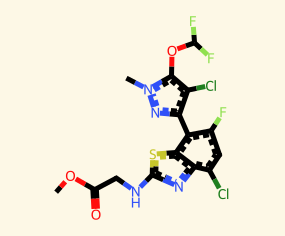 COC(=O)CNc1nc2c(Cl)cc(F)c(-c3nn(C)c(OC(F)F)c3Cl)c2s1